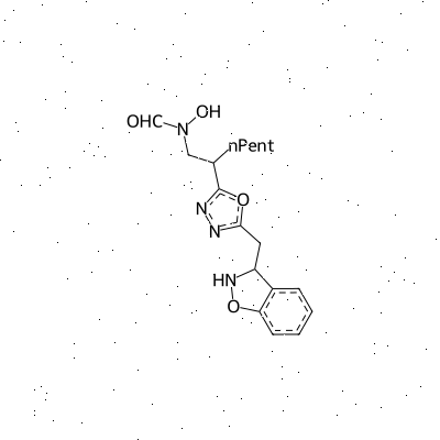 CCCCCC(CN(O)C=O)c1nnc(CC2NOc3ccccc32)o1